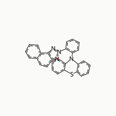 c1ccc2c(c1)Sc1ccccc1N2c1ccccc1-n1nc2ccc3ccccc3c2n1